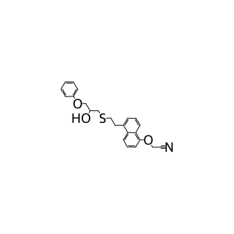 N#CCOc1cccc2c(CCSCC(O)COc3ccccc3)cccc12